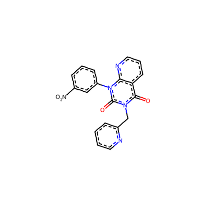 O=c1c2cccnc2n(-c2cccc([N+](=O)[O-])c2)c(=O)n1Cc1ccccn1